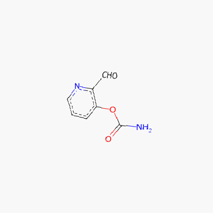 NC(=O)Oc1cccnc1C=O